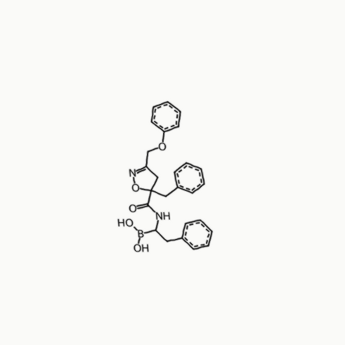 O=C(NC(Cc1ccccc1)B(O)O)C1(Cc2ccccc2)CC(COc2ccccc2)=NO1